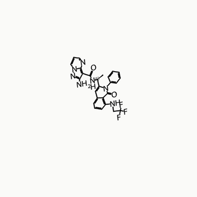 C[C@H](NC(=O)c1c(N)nn2cccnc12)c1cc2cccc(NCC(F)(F)F)c2c(=O)n1-c1ccccc1